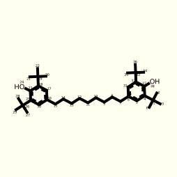 CC(C)(C)c1cc(CCCCCCCCCc2cc(C(C)(C)C)c(O)c(C(C)(C)C)c2)cc(C(C)(C)C)c1O